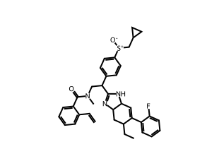 C=Cc1ccccc1C(=O)N(C)CC(C1=NC2CC(CC)C(c3ccccc3F)=CC2N1)c1ccc([S+]([O-])CC2CC2)cc1